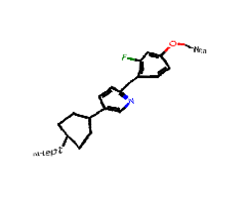 CCCCCCCCCOc1ccc(-c2ccc(C3CCC(CCCCCCC)CC3)cn2)c(F)c1